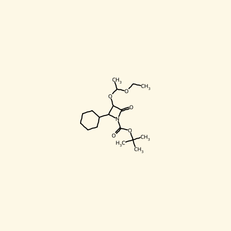 CCOC(C)OC1C(=O)N(C(=O)OC(C)(C)C)C1C1CCCCC1